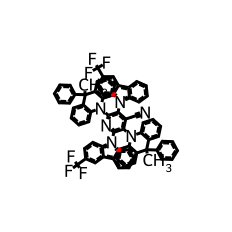 CC1(c2ccccc2)c2ccccc2N(c2nc(-n3c4ccccc4c4cc(C(F)(F)F)ccc43)c(N3c4ccccc4C(C)(c4ccccc4)c4ccccc43)c(C#N)c2-n2c3ccccc3c3cc(C(F)(F)F)ccc32)c2ccccc21